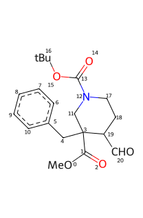 COC(=O)C1(Cc2ccccc2)CN(C(=O)OC(C)(C)C)CCC1C=O